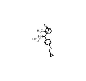 CN1C(=O)C2CCC1(C(NC(=O)O)c1ccc(SCC3CC3)cc1)CC2